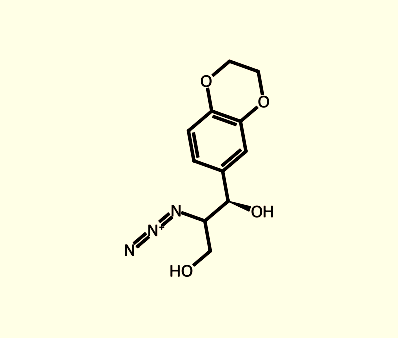 [N-]=[N+]=NC(CO)[C@H](O)c1ccc2c(c1)OCCO2